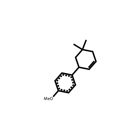 COc1ccc(C2C=CCC(C)(C)C2)cc1